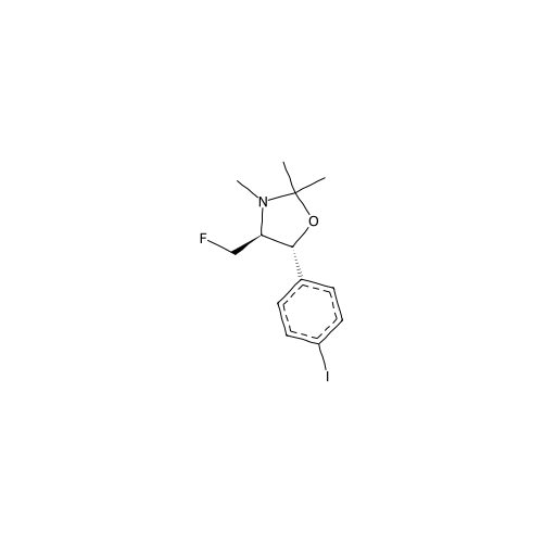 CN1[C@H](CF)[C@@H](c2ccc(I)cc2)OC1(C)C